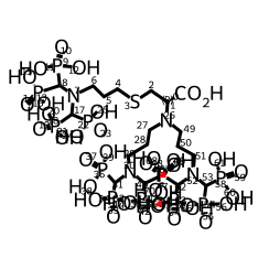 O=C(O)[C@H](CSCCCN(C(P(=O)(O)O)P(=O)(O)O)C(P(=O)(O)O)P(=O)(O)O)N(CCCN(C(P(=O)(O)O)P(=O)(O)O)C(P(=O)(O)O)P(=O)(O)O)CCCN(C(P(=O)(O)O)P(=O)(O)O)C(P(=O)(O)O)P(=O)(O)O